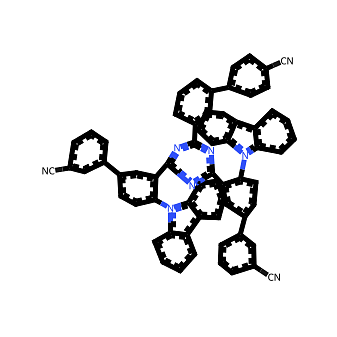 N#Cc1ccc(-c2cccc(-c3nc(-c4cc(-c5cccc(C#N)c5)ccc4-n4c5ccccc5c5ccccc54)nc(-c4cc(-c5cccc(C#N)c5)ccc4-n4c5ccccc5c5ccccc54)n3)c2)cc1